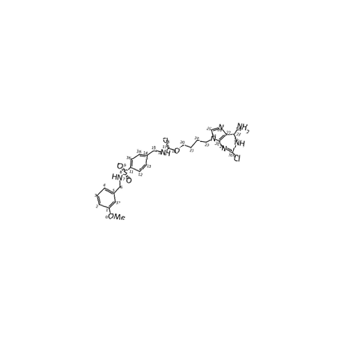 COc1cccc(CNS(=O)(=O)c2ccc(CNC(=O)OCCCCn3cnc4c3N=C(Cl)NC4N)cc2)c1